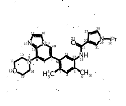 Cc1cc(C)c(-c2cc(N3CCOCC3)c3nccn3c2)cc1NC(=O)c1ccn(C(C)C)c1